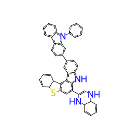 C1=CC2NC=C(c3cc4c(c5c3[nH]c3ccc(-c6ccc7c8ccccc8n(-c8ccccc8)c7c6)cc35)C3C=CC=CC3S4)NC2C=C1